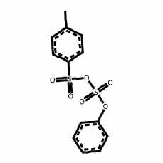 Cc1ccc(S(=O)(=O)OS(=O)(=O)Oc2ccccc2)cc1